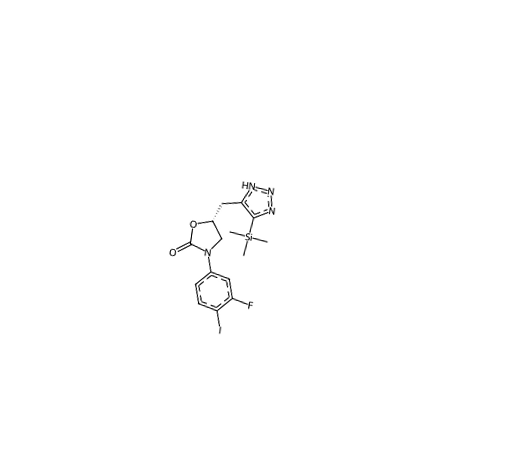 C[Si](C)(C)c1nn[nH]c1C[C@@H]1CN(c2ccc(I)c(F)c2)C(=O)O1